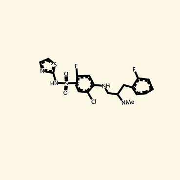 CNC(CNc1cc(F)c(S(=O)(=O)Nc2nccs2)cc1Cl)Cc1ccccc1F